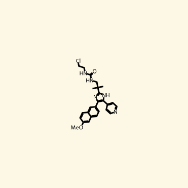 COc1ccc2cc(-c3nc(C(C)(C)CNC(=O)NCCCl)[nH]c3-c3ccncc3)ccc2c1